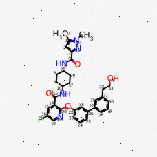 Cc1cc(C(=O)N[C@H]2CC[C@H](NC(=O)c3cc(F)cnc3Oc3cccc(-c4cccc(CCO)c4)c3)CC2)nn1C